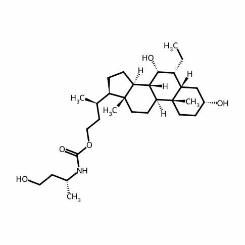 CC[C@H]1[C@@H](O)[C@@H]2[C@H](CC[C@]3(C)[C@@H]([C@H](C)CCOC(=O)N[C@H](C)CCO)CC[C@@H]23)[C@@]2(C)CC[C@@H](O)C[C@@H]12